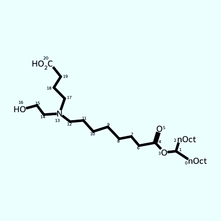 CCCCCCCCC(CCCCCCCC)OC(=O)CCCCCCCN(CCO)CCCC(=O)O